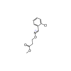 COC(=O)CCO/N=C/c1c[c]ccc1Cl